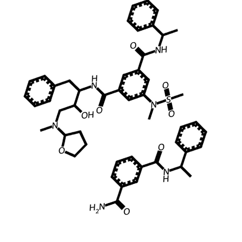 CC(NC(=O)c1cc(C(=O)NC(Cc2ccccc2)C(O)CN(C)C2CCCO2)cc(N(C)S(C)(=O)=O)c1)c1ccccc1.CC(NC(=O)c1cccc(C(N)=O)c1)c1ccccc1